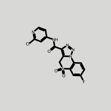 O=C(Nc1ccnc(Cl)c1)c1nnn2c1CS(=O)(=O)c1cc(F)ccc1-2